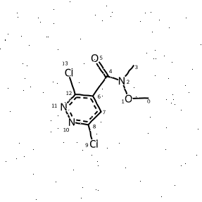 CON(C)C(=O)c1cc(Cl)nnc1Cl